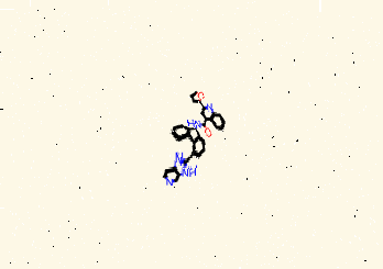 O=C(NC1c2ccccc2-c2c(-c3nc4ccncc4[nH]3)cccc21)c1cc(-c2ccco2)nc2ccccc12